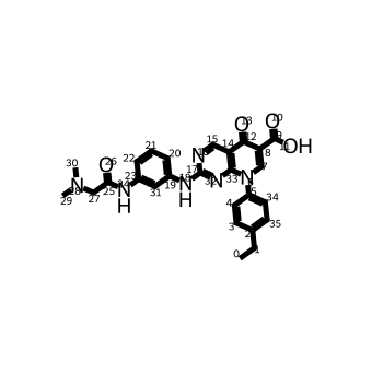 CCc1ccc(-n2cc(C(=O)O)c(=O)c3cnc(Nc4cccc(NC(=O)CN(C)C)c4)nc32)cc1